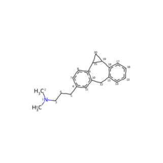 CN(C)CCCc1ccc2c(c1)Cc1ccccc1C1CC21